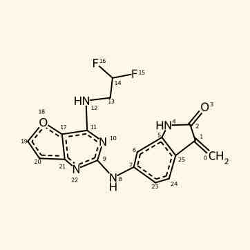 C=C1C(=O)Nc2cc(Nc3nc(NCC(F)F)c4occc4n3)ccc21